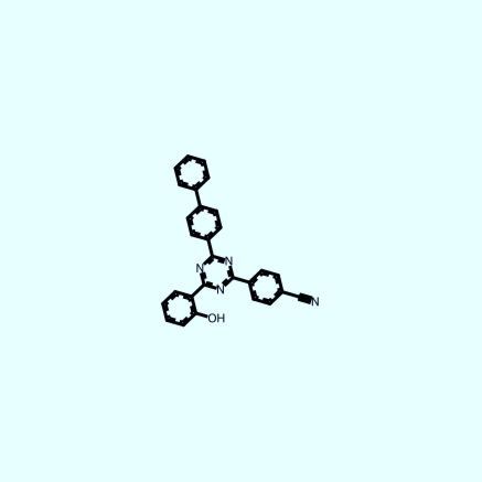 N#Cc1ccc(-c2nc(-c3ccc(-c4ccccc4)cc3)nc(-c3ccccc3O)n2)cc1